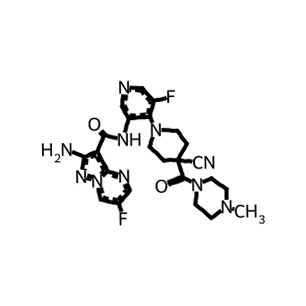 CN1CCN(C(=O)C2(C#N)CCN(c3c(F)cncc3NC(=O)c3c(N)nn4cc(F)cnc34)CC2)CC1